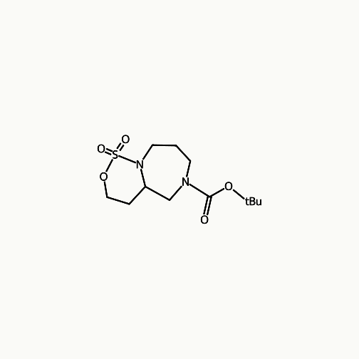 CC(C)(C)OC(=O)N1CCCN2C(CCOS2(=O)=O)C1